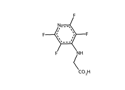 O=C(O)CNc1c(F)c(F)nc(F)c1F